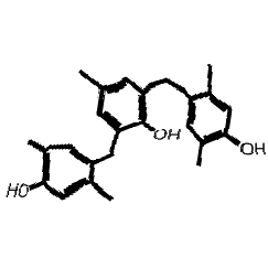 Cc1cc(Cc2cc(C)c(O)cc2C)c(O)c(Cc2cc(C)c(O)cc2C)c1